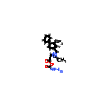 CN(CC(=O)OC(N)=O)Cc1ccc(-c2ccccc2)c(C(F)(F)F)c1